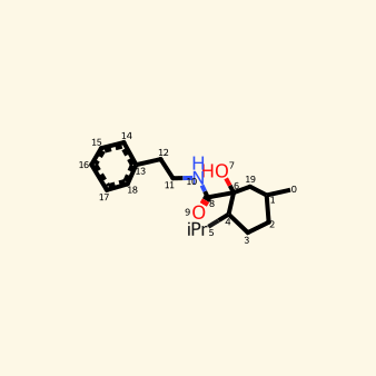 CC1CCC(C(C)C)C(O)(C(=O)NCCc2ccccc2)C1